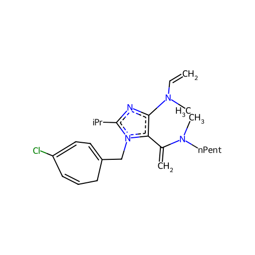 C=CN(C)c1nc(C(C)C)n(CC2=CC=C(Cl)C=CC2)c1C(=C)N(C)CCCCC